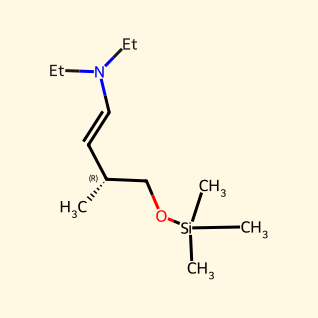 CCN(C=C[C@@H](C)CO[Si](C)(C)C)CC